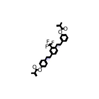 C=C(C)C(=O)Oc1ccc(/C=C/c2ccc(/C=C/c3cccc(OC(=O)C(=C)C)c3)c(C(F)(F)F)c2)cc1